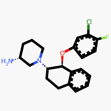 N[C@@H]1CCCN([C@H]2CCc3ccccc3[C@@H]2Oc2ccc(F)c(Cl)c2)C1